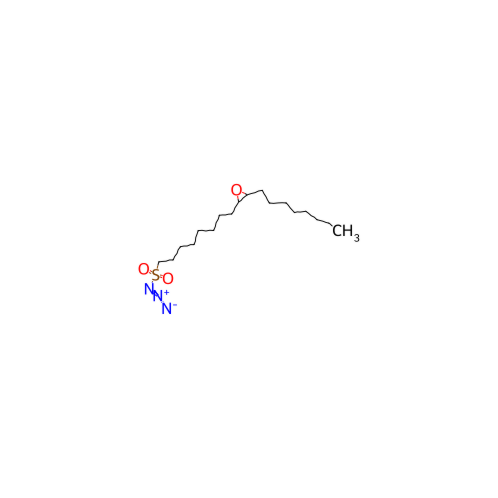 CCCCCCCCC1OC1CCCCCCCCS(=O)(=O)N=[N+]=[N-]